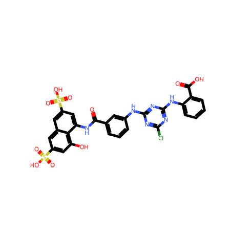 O=C(Nc1cc(S(=O)(=O)O)cc2cc(S(=O)(=O)O)cc(O)c12)c1cccc(Nc2nc(Cl)nc(Nc3ccccc3C(=O)O)n2)c1